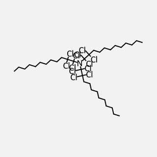 CCCCCCCCCCC(Cl)(Cl)C(Cl)(Cl)N(C(Cl)(Cl)C(Cl)(Cl)CCCCCCCCCC)C(Cl)(Cl)C(Cl)(Cl)CCCCCCCCCC